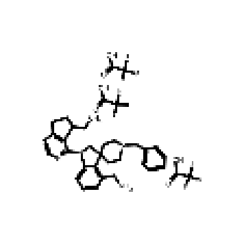 CCC1CCc2ncnc(N3CC4(CCN(Cc5ccccc5)CC4)c4c(CN)cccc43)c21.O=C(O)C(F)(F)F.O=C(O)C(F)(F)F.O=C(O)C(F)(F)F